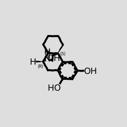 Oc1cc(O)c2c(c1)[C@@]13CCCC[C@@]1(O)[C@@H](C2)NCC3